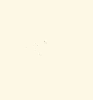 C1=C(C2=NCCc3ccccc32)N([C]2CC3CCN2CC3)CC1